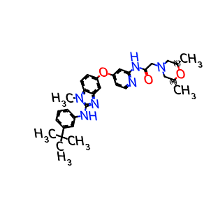 C[C@@H]1CN(CC(=O)Nc2cc(Oc3ccc4c(c3)nc(Nc3cccc(C(C)(C)C)c3)n4C)ccn2)C[C@H](C)O1